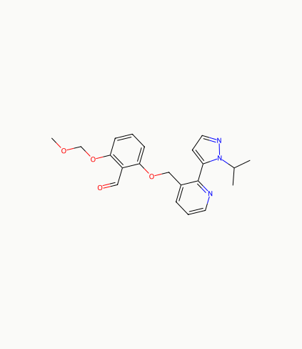 COCOc1cccc(OCc2cccnc2-c2ccnn2C(C)C)c1C=O